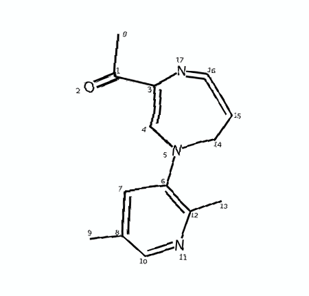 CC(=O)C1=CN(c2cc(C)cnc2C)CC=C=N1